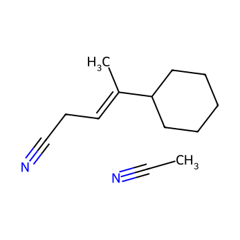 CC#N.CC(=CCC#N)C1CCCCC1